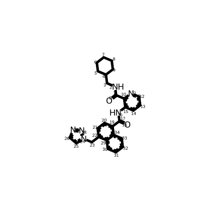 O=C(NCC1CCCCC1)c1n[c]ccc1NC(=O)c1ccc(Cn2ccnn2)c2ccccc12